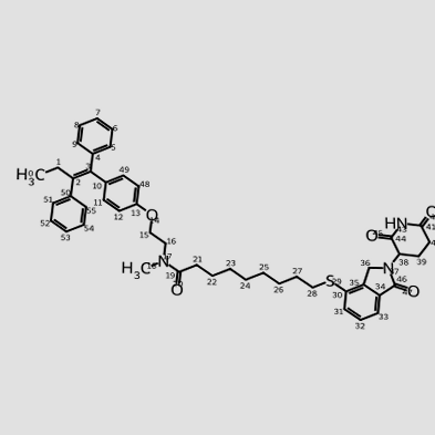 CCC(=C(c1ccccc1)c1ccc(OCCN(C)C(=O)CCCCCCCCSc2cccc3c2CN(C2CCC(=O)NC2=O)C3=O)cc1)c1ccccc1